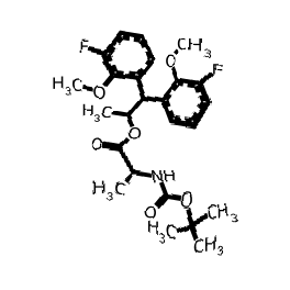 COc1c(F)cccc1C(c1cccc(F)c1OC)C(C)OC(=O)[C@H](C)NC(=O)OC(C)(C)C